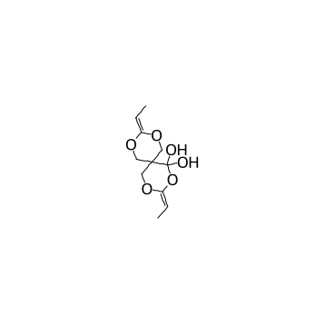 CC=C1OCC2(CO1)COC(=CC)OC2(O)O